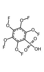 O=S(=O)(O)c1c(OF)c(OF)c(OF)c(OF)c1OF